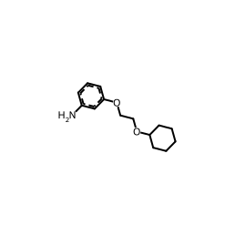 Nc1cccc(OCCOC2CCCCC2)c1